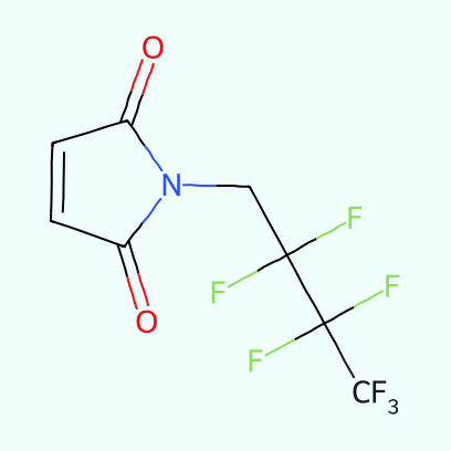 O=C1C=CC(=O)N1CC(F)(F)C(F)(F)C(F)(F)F